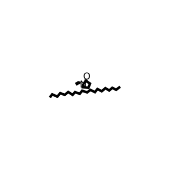 C=CN1CCCC1=O.CCCCCCCCCCCCCCCCCCCC